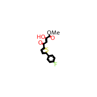 COC(=O)C(O)=CC(=O)c1ccc(-c2ccc(F)cc2)s1